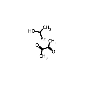 CC(=O)C(C)=O.CC(=O)C(C)O